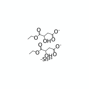 CCOC(=O)C(O)CC(=O)[O-].CCOC(=O)C(O)CC(=O)[O-].[CH3][Sn+2][CH3]